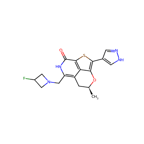 C[C@H]1Cc2c(CN3CC(F)C3)[nH]c(=O)c3sc(-c4cn[nH]c4)c(c23)O1